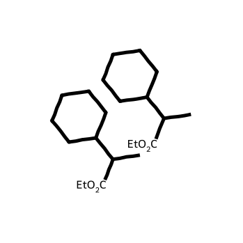 CCOC(=O)C(C)C1CCCCC1.CCOC(=O)C(C)C1CCCCC1